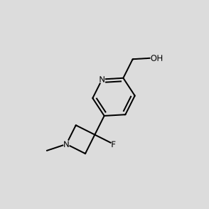 CN1CC(F)(c2ccc(CO)nc2)C1